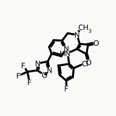 CN(Cc1ccc(-c2noc(C(F)(F)F)n2)cn1)c1c(Nc2ccc(F)cc2Cl)c(=O)c1=O